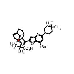 CC1(C)CCC(c2cc(C(C)(C)C)c3oc(C(=O)C4CCC/C(C(=O)CCC(C)(C)C(=O)O)=C/CC4(C)C)cc3n2)CC1